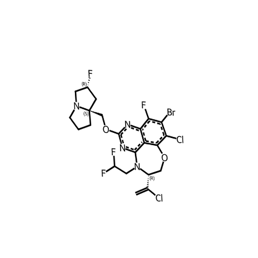 C=C(Cl)[C@H]1COc2c(Cl)c(Br)c(F)c3nc(OC[C@@]45CCCN4C[C@H](F)C5)nc(c23)N1CC(F)F